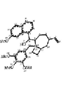 C=CC1CCC(C(O)c2ccnc3ccc(OC)cc23)[N+]2(Cc3cc(OC)c(OC)c(OC)c3)CCC2C1